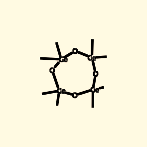 [CH3][Ge]1([CH3])[O][Ge]([CH3])([CH3])[O][Ge]([CH3])([CH3])[O][Ge]([CH3])([CH3])[O]1